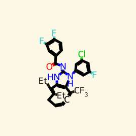 CC/C1=C(CC)\C(N/C(=N\C(=O)c2ccc(F)c(F)c2)Nc2cc(F)cc(Cl)c2)=C(\C)C(C(F)(F)F)=C=C=CC1